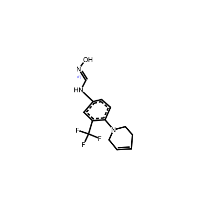 O/N=C/Nc1ccc(N2CC=CCC2)c(C(F)(F)F)c1